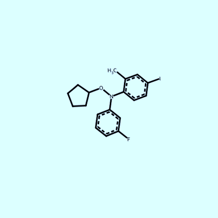 Cc1cc(I)ccc1N(OC1CCCC1)c1cccc(F)c1